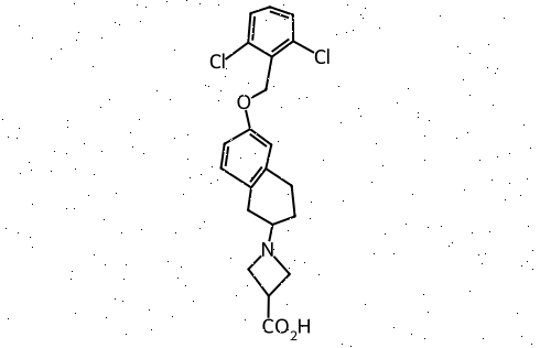 O=C(O)C1CN(C2CCc3cc(OCc4c(Cl)cccc4Cl)ccc3C2)C1